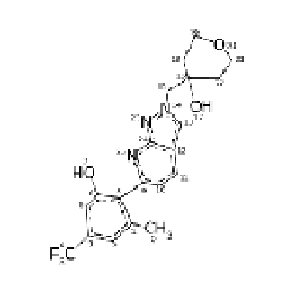 Cc1cc(C(F)(F)F)cc(O)c1-c1ccc2cn(CC3(O)CCOCC3)nc2n1